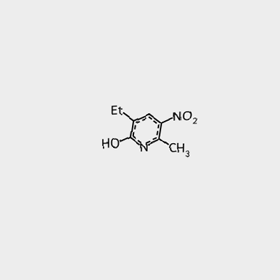 CCc1cc([N+](=O)[O-])c(C)nc1O